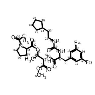 COC(=O)[C@@H](NC(=O)[C@H](Cc1cc(F)cc(F)c1)NC(=O)NCCC1CCCC1)[C@@H](C)OC(=O)C1CCCN1C(C)=O